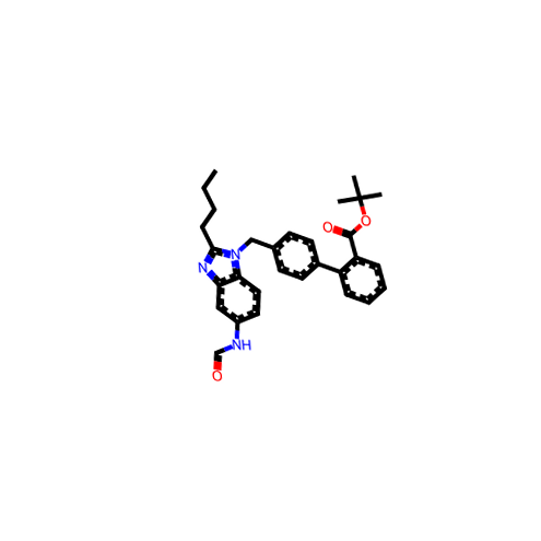 CCCCc1nc2cc(NC=O)ccc2n1Cc1ccc(-c2ccccc2C(=O)OC(C)(C)C)cc1